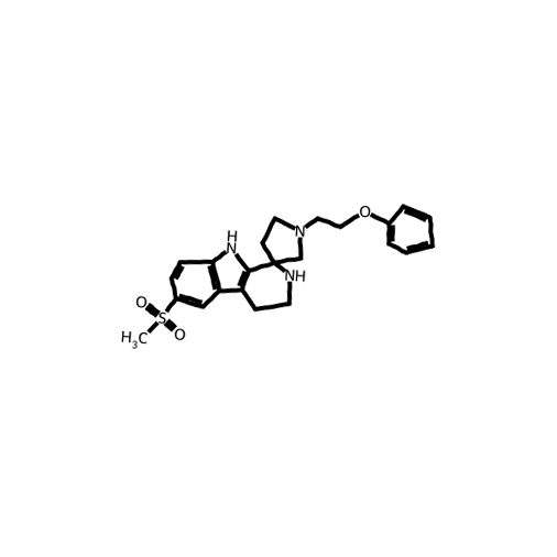 CS(=O)(=O)c1ccc2[nH]c3c(c2c1)CCNC31CCN(CCOc2ccccc2)C1